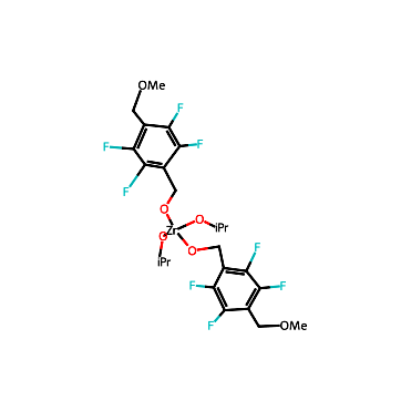 COCc1c(F)c(F)c(C[O][Zr]([O]Cc2c(F)c(F)c(COC)c(F)c2F)([O]C(C)C)[O]C(C)C)c(F)c1F